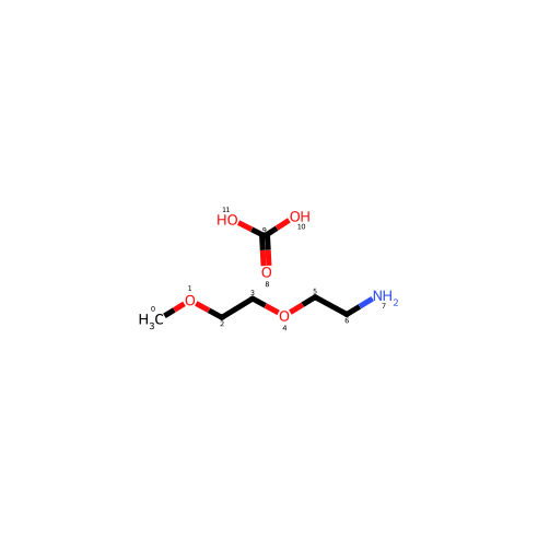 COCCOCCN.O=C(O)O